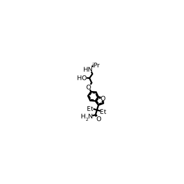 CCC(CC)(C(N)=O)c1coc2cc(OCC(O)CNC(C)C)ccc12